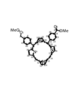 COOCc1ccc(-c2c3nc(cc4ccc(cc5nc(c(-c6ccc(C(=O)OC)cc6)c6ccc2[nH]6)C=C5)[nH]4)C=C3)cc1